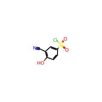 N#Cc1cc(S(=O)(=O)Cl)ccc1O